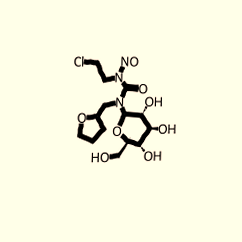 O=NN(CCCl)C(=O)N(CC1CCCO1)C1O[C@H](CO)[C@@H](O)[C@H](O)[C@H]1O